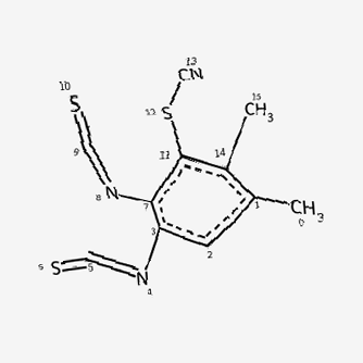 Cc1cc(N=C=S)c(N=C=S)c(SC#N)c1C